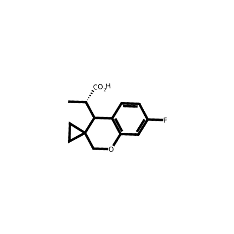 C[C@H](C(=O)O)C1c2ccc(F)cc2OCC12CC2